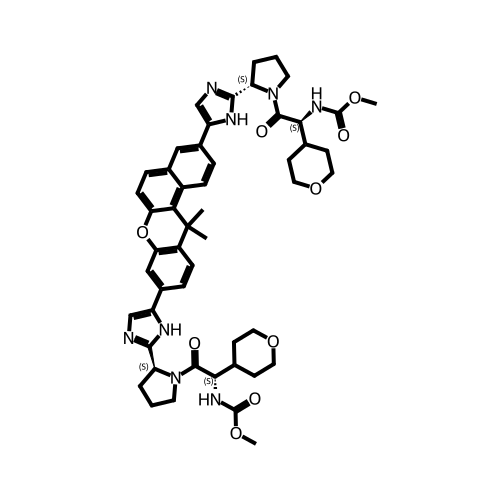 COC(=O)N[C@H](C(=O)N1CCC[C@H]1c1ncc(-c2ccc3c(c2)Oc2ccc4cc(-c5cnc([C@@H]6CCCN6C(=O)[C@@H](NC(=O)OC)C6CCOCC6)[nH]5)ccc4c2C3(C)C)[nH]1)C1CCOCC1